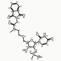 CN(CCOC[C@H]1O[C@@H](n2ccc(=O)[nH]c2=O)C(O[Si](C)(C)C(C)(C)C)[C@H]1O)C(=O)CN1C(=O)c2ccccc2C1=O